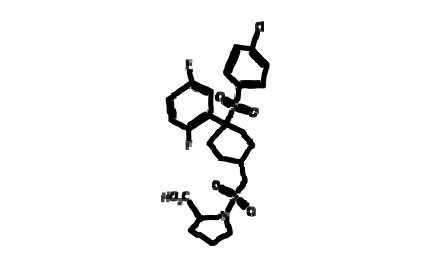 O=C(O)C1CCCN1S(=O)(=O)CC1CCC(c2cc(F)ccc2F)(S(=O)(=O)c2ccc(Cl)cc2)CC1